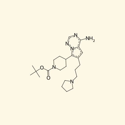 CC(C)(C)OC(=O)N1CCC(c2c(CCCN3CCCC3)cc3c(N)ncnn23)CC1